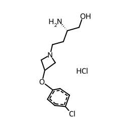 Cl.N[C@H](CO)CCN1CC(Oc2ccc(Cl)cc2)C1